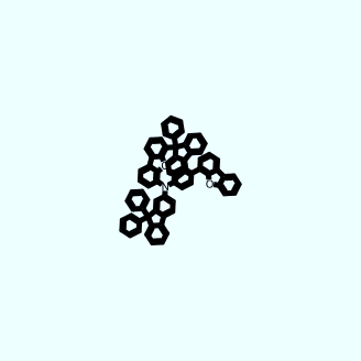 c1ccc(C2(c3ccccc3)c3ccccc3-c3ccc(N(c4ccc(-c5cccc6c5oc5ccccc56)cc4)c4cccc5c4oc4c(C6(c7ccccc7)c7ccccc7-c7ccccc76)cccc45)cc32)cc1